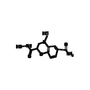 CN1CC(C(=O)NO)Oc2ccc(C(N)=O)cc21.Cl